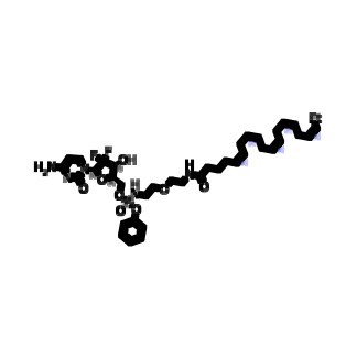 CC/C=C\C/C=C\C/C=C\C/C=C\C/C=C\CCCC(=O)NCCOCCNP(=O)(OC[C@H]1O[C@@H](n2ccc(N)nc2=O)C(F)(F)[C@@H]1O)Oc1ccccc1